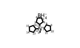 C[N+](C1CCCC1)(C1CCCC1)C1CCCC1.[BH4-]